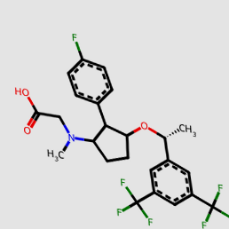 C[C@@H](OC1CCC(N(C)CC(=O)O)C1c1ccc(F)cc1)c1cc(C(F)(F)F)cc(C(F)(F)F)c1